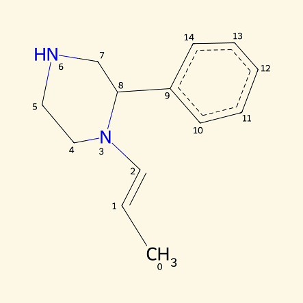 CC=CN1CCNCC1c1ccccc1